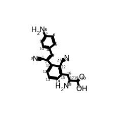 N#CC(=Cc1ccc(N)cc1)c1cccc(CC(N)C(=O)O)c1C#N